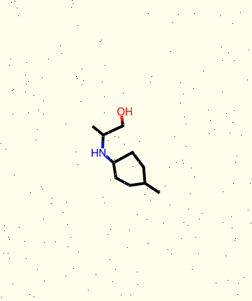 CC1CCC(NC(C)CO)CC1